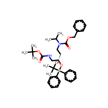 CC(C)N(CC[C@@H](CNC(=O)OC(C)(C)C)O[Si](c1ccccc1)(c1ccccc1)C(C)(C)C)C(=O)OCc1ccccc1